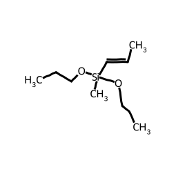 CC=C[Si](C)(OCCC)OCCC